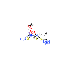 CC(C)(C)OC(=O)CO/N=C(\C(=O)NC1C(=O)N2C(C(=O)O)=C(CSc3ccc4nnnn4n3)CS[C@H]12)c1csc(N)n1